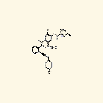 C=C/N=C(/NSc1cc(OC=O)c(N(C)[C@H](C)c2ccccc2C#CCN2CC[S+]([O-])CC2)cc1F)SC